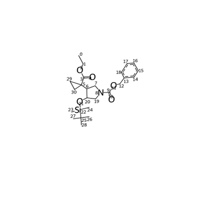 CCOC(=O)C1(C2CN(C(=O)OCc3ccccc3)CC2O[Si](C)(C)C(C)(C)C)CC1